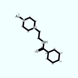 CC(=O)N1CCN(CCNC(=O)C2CCCCC2)CC1